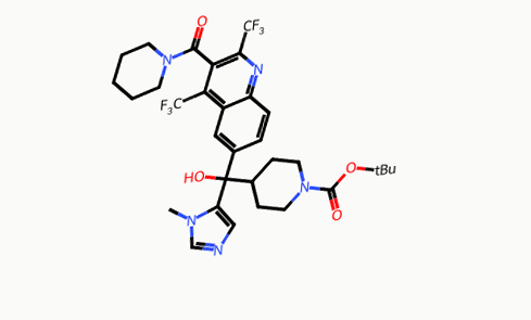 Cn1cncc1C(O)(c1ccc2nc(C(F)(F)F)c(C(=O)N3CCCCC3)c(C(F)(F)F)c2c1)C1CCN(C(=O)OC(C)(C)C)CC1